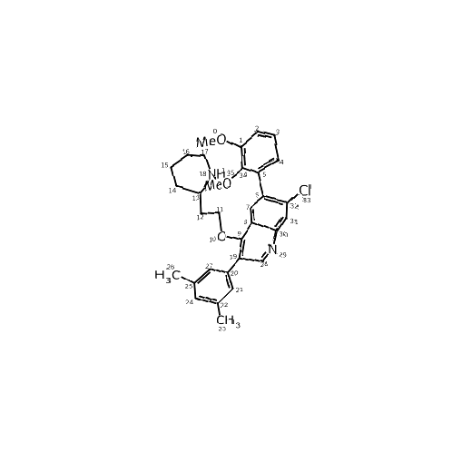 COc1cccc(-c2cc3c(OCCC4CCCCN4)c(-c4cc(C)cc(C)c4)cnc3cc2Cl)c1OC